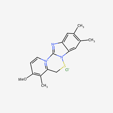 COc1cc[n+]2c(c1C)CSn1c-2nc2cc(C)c(C)cc21.[Cl-]